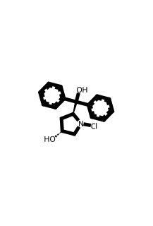 O[C@@H]1C[C@@H](C(O)(c2ccccc2)c2ccccc2)N(Cl)C1